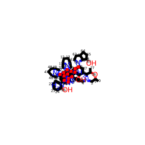 CC1CN(CC#Cc2cc(N3C4CCC3CN(c3cc(-c5ccccc5O)nnc3N)C4)ccn2)C(c2cccc(-c3cc(N4CC5CCC(C4)N5c4ccnc(C#CCN5CCC6CC[C@@H](O)C65)c4)c(N)nn3)c2O)C(C)O1